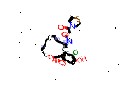 O=C1OCC/C=C/CC/C=C/C(=N\OCC(=O)N2CCSCC2)Cc2c(Cl)c(O)cc(O)c21